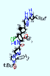 CO[C@@H]1CN[C@H](c2nc(-c3ccc(-c4cc(Cl)c(NC(=O)c5ccc(N6CCN(C(=O)C(C)(C)C)C[C@H]6C)nc5)cc4OC(F)(F)F)cc3)c[nH]2)C1